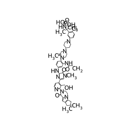 C=CC(=O)Nc1cc(Nc2nc(-c3ccnc(N4CCn5c(cc6c5CC(C)(C)C6)C4=O)c3CO)cn(C)c2=O)ccc1N1CCN(C2CCN(c3ccc(Cl)c(C(C)(C)NP(=O)(O)O)c3)CC2)C[C@@H]1C